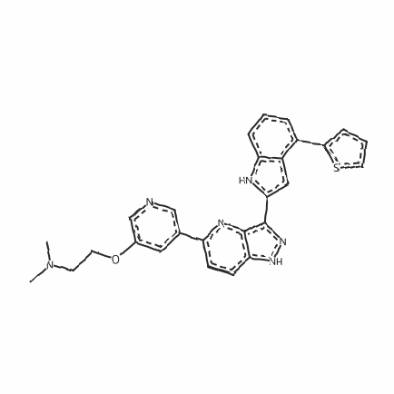 CN(C)CCOc1cncc(-c2ccc3[nH]nc(-c4cc5c(-c6cccs6)cccc5[nH]4)c3n2)c1